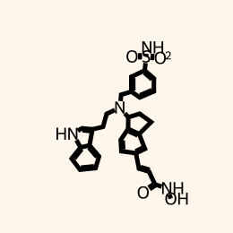 NS(=O)(=O)c1cccc(CN(CCc2c[nH]c3ccccc23)C2CCc3cc(C=CC(=O)NO)ccc32)c1